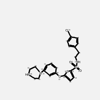 O=S(=O)(NCCc1ccc(Cl)cc1)c1ccc(Oc2cccc(N3CCNCC3)c2)s1